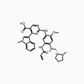 C=CC(=O)Nc1cc(Nc2ncc(C(=O)O)c(-c3cn(C)c4ccccc34)n2)c(OC)cc1N(C)C[C@H]1CCCN1C